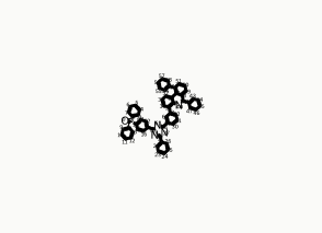 O=P(c1ccccc1)(c1ccccc1)c1ccc(-c2nc(-c3ccccc3)nc(-c3cccc(-c4cccc5c4nc(-c4ccccc4)c4cccc(-c6ccccc6)c45)c3)n2)cc1